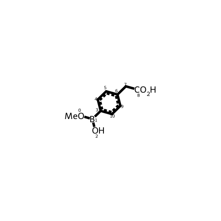 COB(O)c1ccc(CC(=O)O)cc1